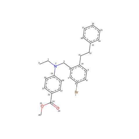 CCN(Cc1cc(Br)ccc1CCc1ccccc1)c1ccc(C(=O)OC)cc1